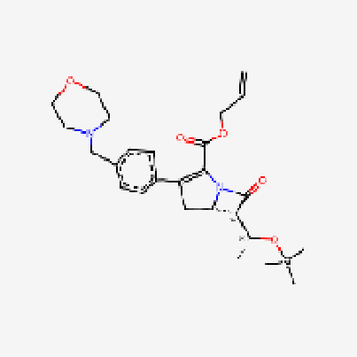 C=CCOC(=O)C1=C(c2ccc(CN3CCOCC3)cc2)CC2[C@@H]([C@@H](C)O[Si](C)(C)C)C(=O)N12